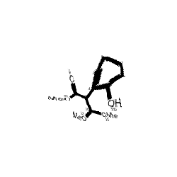 COC(=O)C(c1ccccc1O)C(OC)OC